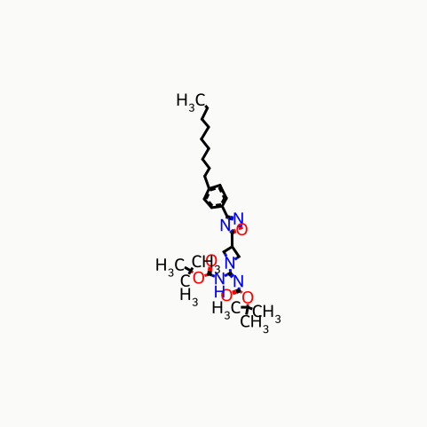 CCCCCCCCCc1ccc(-c2noc(C3CN(C(=NC(=O)OC(C)(C)C)NC(=O)OC(C)(C)C)C3)n2)cc1